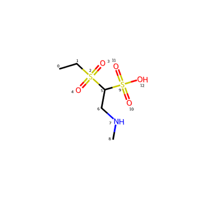 CCS(=O)(=O)C(CNC)S(=O)(=O)O